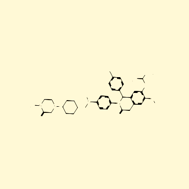 COc1cc2c(cc1OC(C)C)C(c1ccc(Cl)cc1)N(c1ccc(N(C)C[C@H]3CC[C@H](N4CCN(C)C(=O)C4)CC3)cc1)C(=O)C2